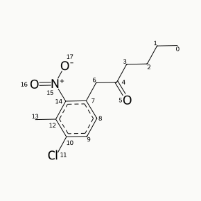 CCCCC(=O)Cc1ccc(Cl)c(C)c1[N+](=O)[O-]